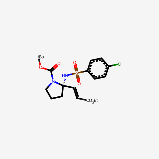 CCOC(=O)C=C[C@@]1(NS(=O)(=O)c2ccc(Cl)cc2)CCCN1C(=O)OC(C)(C)C